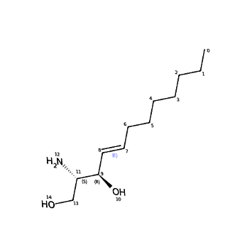 CCCCCCC/C=C/[C@@H](O)[C@@H](N)CO